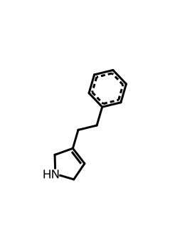 C1=C(CCc2ccccc2)CNC1